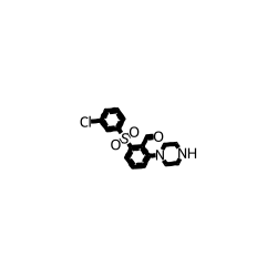 O=Cc1c(N2CCNCC2)cccc1S(=O)(=O)c1cccc(Cl)c1